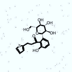 O=C(CCc1cccs1)c1c(O)cccc1[C@@H]1O[C@H](CO)[C@@H](O)[C@H](O)[C@H]1O